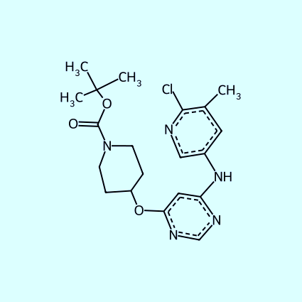 Cc1cc(Nc2cc(OC3CCN(C(=O)OC(C)(C)C)CC3)ncn2)cnc1Cl